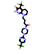 O=C(CCCN1CCCc2c1n[nH]c(=O)c2C(F)(F)F)N1CCN(c2ncc(C(F)(F)F)cn2)CC1